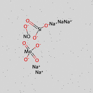 O=N[O-].O=[Si]([O-])[O-].[Na+].[Na+].[Na+].[Na+].[Na+].[O]=[Mo](=[O])([O-])[O-]